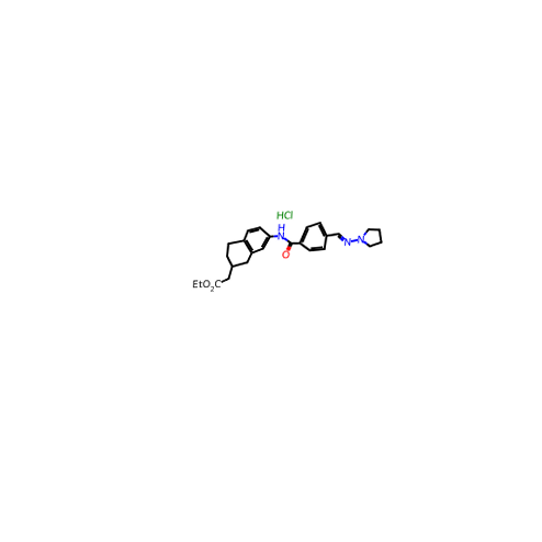 CCOC(=O)CC1CCc2ccc(NC(=O)c3ccc(C=NN4CCCC4)cc3)cc2C1.Cl